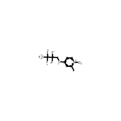 Cc1cc(OCC(F)(F)C(F)(F)C(F)(F)F)cc[n+]1[O-]